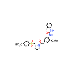 COc1cc(CC(=O)N2CCC[C@H]2CS(=O)(=O)c2ccc(C(=O)O)cc2)ccc1NC(=O)Nc1ccccc1C